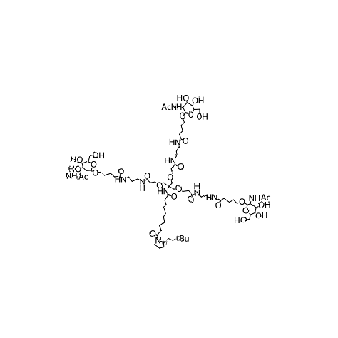 CC(=O)NC1C(OCCCCC(=O)NCCCNC(=O)CCOCC(COCCC(=O)NCCCNC(=O)CCCCOC2OC(CO)C(O)C(O)C2NC(C)=O)(COCCC(=O)NCCCNC(=O)CCCCOC2OC(CO)C(O)C(O)C2NC(C)=O)NC(=O)CCCCCCCCC(=O)N2CCC[C@H]2CCC(C)(C)C)OC(CO)C(O)C1O